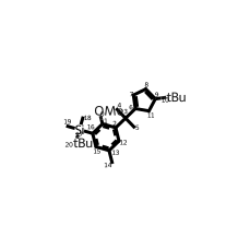 COc1c(C(C)(C)C2=CC=C(C(C)(C)C)C2)cc(C)cc1[Si](C)(C)C(C)(C)C